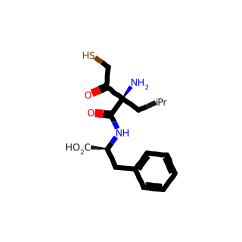 CC(C)C[C@@](N)(C(=O)CS)C(=O)N[C@@H](Cc1ccccc1)C(=O)O